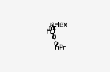 CCCCCCC(C)OC1C(F)CC(C2CCC(C3CCC(CCC)CC3)CC2)CC1F